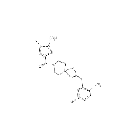 Cc1cn(C(=O)N2CCC3(CC2)CN(Cc2cc(Cl)ccc2C(F)(F)F)C3)nc1C(=O)O